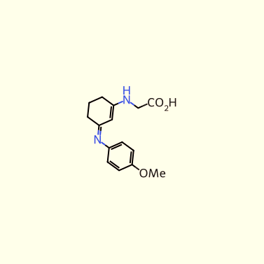 COc1ccc(N=C2C=C(NCC(=O)O)CCC2)cc1